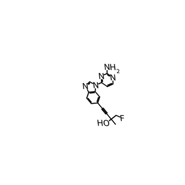 CC(O)(C#Cc1ccc2ncn(-c3ccnc(N)n3)c2c1)CF